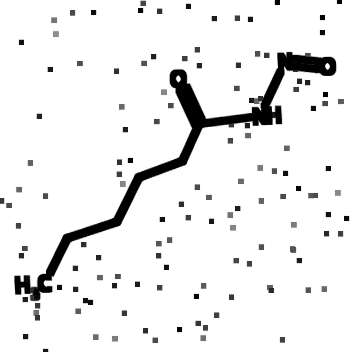 CCCCCC(=O)NN=O